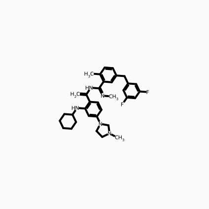 C=C(N/C(=N/C)c1cc(Cc2cc(F)cc(F)c2)ccc1C)c1ccc(N2CCN(C)C2)cc1NC1CCCCC1